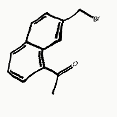 CC(=O)c1cccc2ccc(CBr)cc12